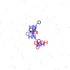 CC(C1CCCCC1)N(CCNCCc1ccc(O)c2c1OCC(=O)N2)C(=O)CCNCCc1ccccc1